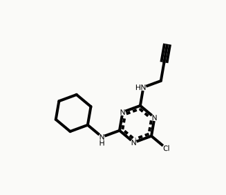 C#CCNc1nc(Cl)nc(NC2CCCCC2)n1